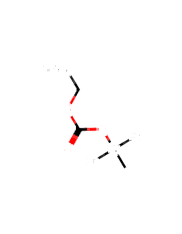 CCCCCCCOC(=O)O[Si](C)(CC)CC